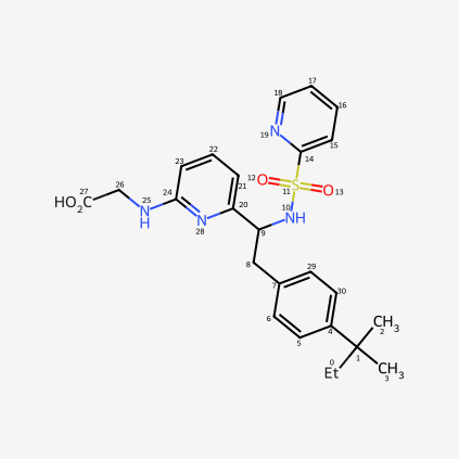 CCC(C)(C)c1ccc(CC(NS(=O)(=O)c2ccccn2)c2cccc(NCC(=O)O)n2)cc1